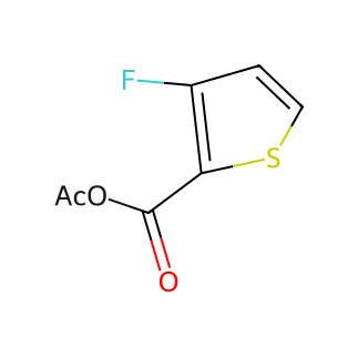 CC(=O)OC(=O)c1sccc1F